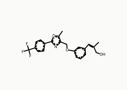 CC(=Cc1cccc(OCc2nc(-c3ccc(C(F)(F)F)cc3)oc2C)c1)CO